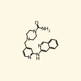 NC(=O)N1CCN(Cc2ccnc(Nc3cc4ccccc4cn3)c2)CC1